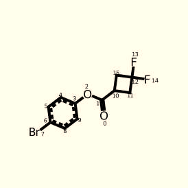 O=C(Oc1ccc(Br)cc1)C1CC(F)(F)C1